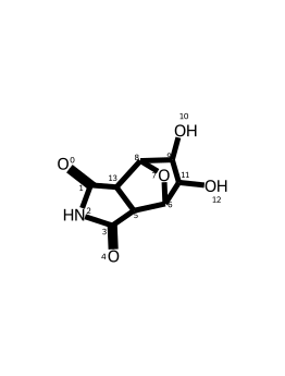 O=C1NC(=O)C2C3OC(C(O)C3O)C12